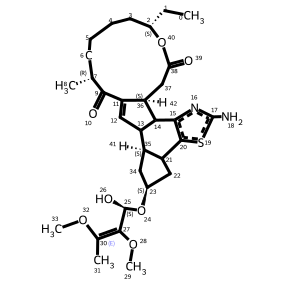 CC[C@H]1CCCC[C@@H](C)C(=O)C2=CC3C(c4nc(N)sc4C4C[C@@H](O[C@H](O)/C(OC)=C(/C)OC)C[C@H]43)[C@@H]2CC(=O)O1